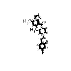 Cc1cc(C)n2ccnc2c1C(=O)N1CCN(CCc2ccc(F)cc2F)CC1